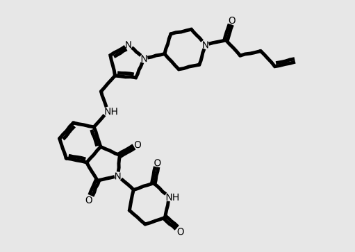 C=CCCC(=O)N1CCC(n2cc(CNc3cccc4c3C(=O)N(C3CCC(=O)NC3=O)C4=O)cn2)CC1